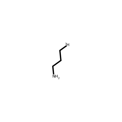 [3H]CCCN